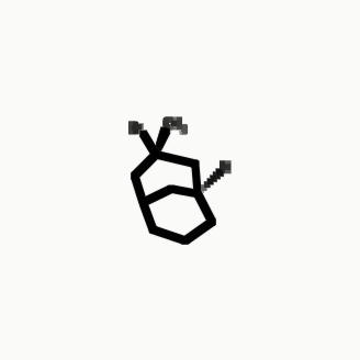 C[C@]1(Br)CC2CCC[C@@H](C2)C1